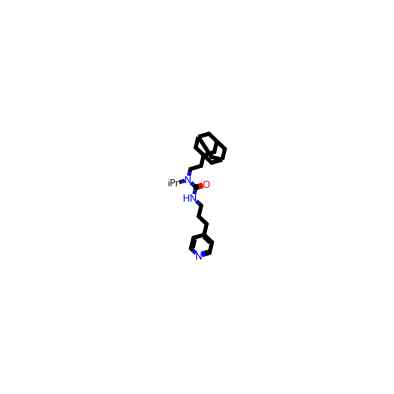 CC(C)N(CCC12CC3CC(CC(C3)C1)C2)C(=O)NCCCc1ccncc1